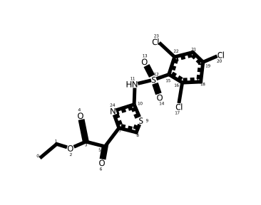 CCOC(=O)C(=O)c1csc(NS(=O)(=O)c2c(Cl)cc(Cl)cc2Cl)n1